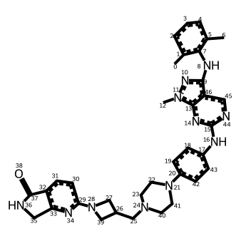 Cc1cccc(C)c1Nc1nn(C)c2nc(Nc3ccc(N4CCN(CC5CN(c6ccc7c(n6)CNC7=O)C5)CC4)cc3)ncc12